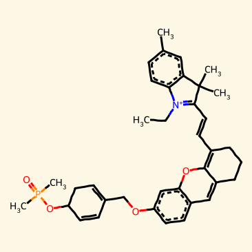 CC[N+]1=C(/C=C/C2=C3Oc4cc(OCC5=CCC(OP(C)(C)=O)C=C5)ccc4C=C3CCC2)C(C)(C)c2cc(C)ccc21